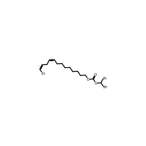 CC/C=C\C/C=C\CCCCCCCCOC(=O)OC(C(C)C)C(C)C